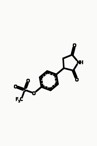 O=C1CC(c2ccc(OS(=O)(=O)C(F)(F)F)cc2)C(=O)N1